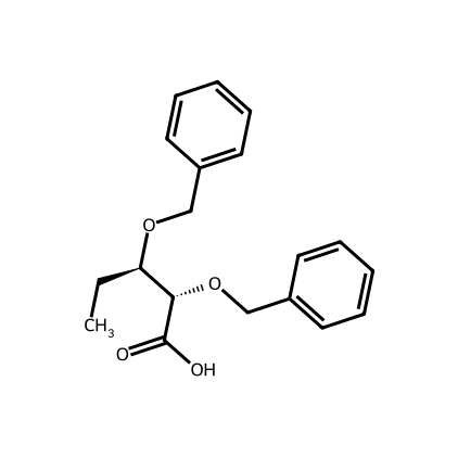 CC[C@@H](OCc1ccccc1)[C@H](OCc1ccccc1)C(=O)O